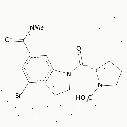 CNC(=O)c1cc(Br)c2c(c1)N(C(=O)[C@@H]1CCCN1C(=O)O)CC2